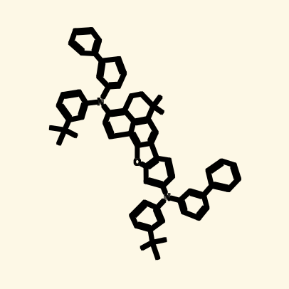 CC(C)(C)c1cccc(N(c2cccc(-c3ccccc3)c2)c2ccc3c(c2)oc2c4ccc(N(c5cccc(-c6ccccc6)c5)c5cccc(C(C)(C)C)c5)c5c4c(cc32)C(C)(C)CC5)c1